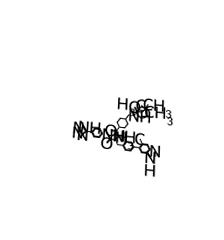 Cc1cc2nc[nH]c2cc1-c1ccc(C[C@H](NC(=O)C2CCC(CNC(=O)OC(C)(C)C)CC2)C(=O)Nc2ccc(-c3nnn[nH]3)cc2)cc1